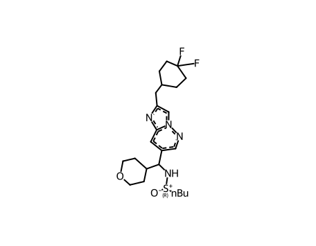 CCCC[S@+]([O-])NC(c1cnn2cc(CC3CCC(F)(F)CC3)nc2c1)C1CCOCC1